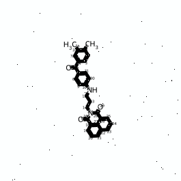 Cc1ccc(C(=O)c2ccc(NCCCN3C(=O)c4cccc5cccc(c45)C3=O)cc2)cc1C